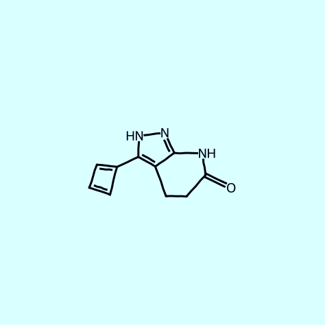 O=C1CCc2c(n[nH]c2C2=CC=C2)N1